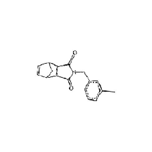 Cc1cccc(CN2C(=O)C3C4C=CC(C4)C3C2=O)c1